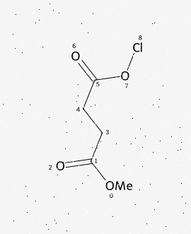 COC(=O)CCC(=O)OCl